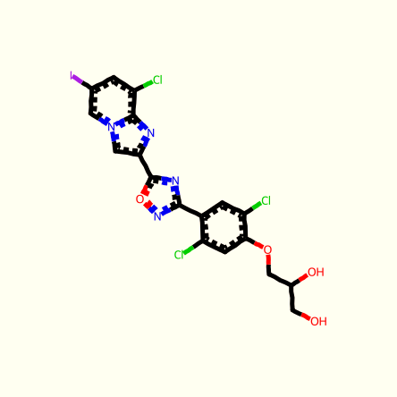 OCC(O)COc1cc(Cl)c(-c2noc(-c3cn4cc(I)cc(Cl)c4n3)n2)cc1Cl